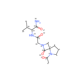 CC(=O)N1CCCC12CN(CC(=O)NC(C(N)=O)C(C)C)C2=O